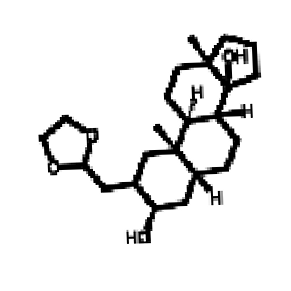 C[C@]12CC(CC3OCCO3)[C@H](O)C[C@H]1CC[C@@H]1[C@@H]2CC[C@]2(C)CCC[C@]12O